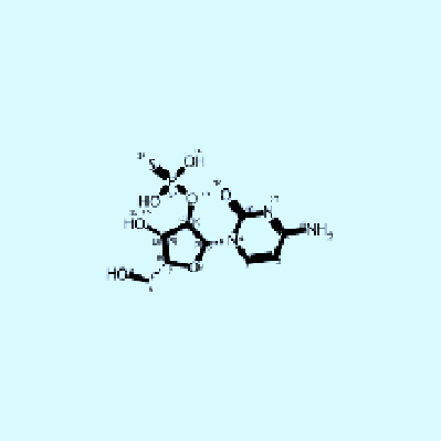 Nc1ccn([C@@H]2O[C@H](CO)[C@@H](O)[C@H]2OP(O)(O)=S)c(=O)n1